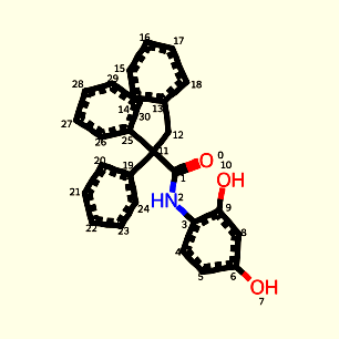 O=C(Nc1ccc(O)cc1O)C(Cc1ccccc1)(c1ccccc1)c1ccccc1